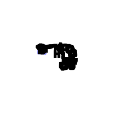 CC(NCC#CC1=C/CC/C(C#N)=C/C=C\1)C(=O)CCCCc1ccccc1C(=O)NC1(c2ccc3ccccc3c2)CC1